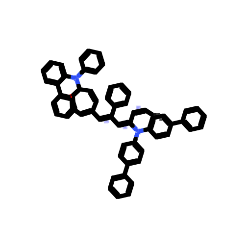 C\C=C/C(=C\C(=C\C1=CC=CC(N(c2ccccc2)c2ccccc2-c2ccccc2)C=C1)c1ccccc1)N(c1ccc(-c2ccccc2)cc1)c1ccc(-c2ccccc2)cc1